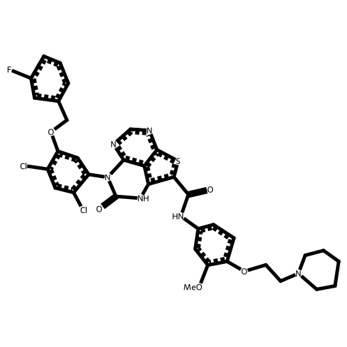 COc1cc(NC(=O)c2sc3ncnc4c3c2NC(=O)N4c2cc(OCc3cccc(F)c3)c(Cl)cc2Cl)ccc1OCCN1CCCCC1